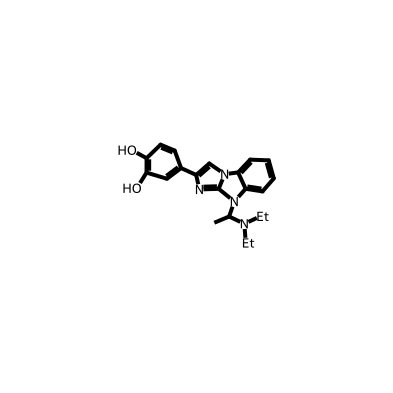 CCN(CC)C(C)n1c2ccccc2n2cc(-c3ccc(O)c(O)c3)nc12